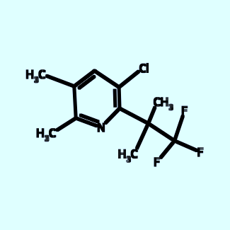 Cc1cc(Cl)c(C(C)(C)C(F)(F)F)nc1C